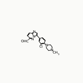 CN1CCN(c2ccc(-c3cnc4ccc(C=O)nn34)cc2Cl)CC1